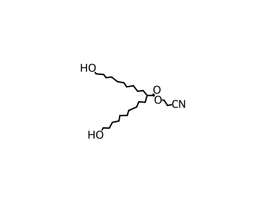 N#CCCOC(=O)C(CCCCCCCCCCO)CCCCCCCCCCO